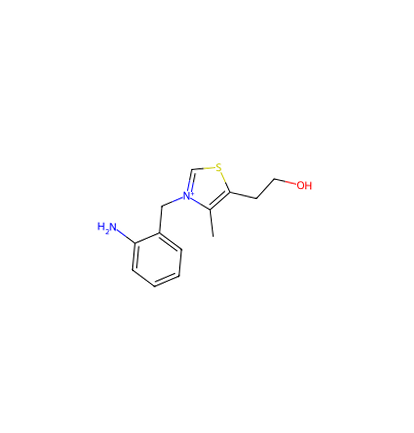 Cc1c(CCO)sc[n+]1Cc1ccccc1N